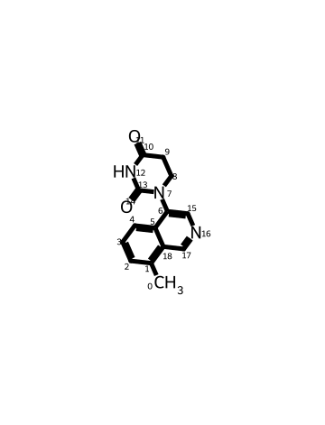 Cc1cccc2c(N3CCC(=O)NC3=O)cncc12